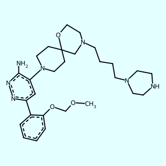 COCOc1ccccc1-c1cc(N2CCC3(CC2)CN(CCCCN2CCNCC2)CCO3)c(N)nn1